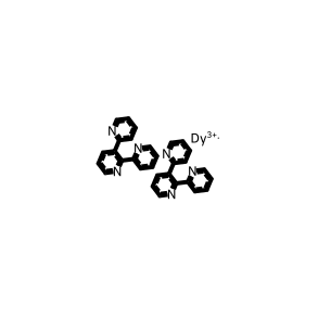 [Dy+3].c1ccc(-c2cccnc2-c2ccccn2)nc1.c1ccc(-c2cccnc2-c2ccccn2)nc1